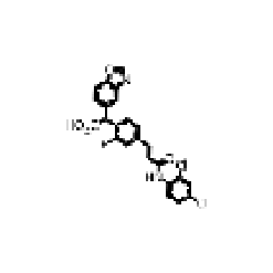 O=C(C=Cc1ccc(C(C(=O)O)c2ccc3ocnc3c2)c(F)c1)Nc1ccc(Cl)cc1Cl